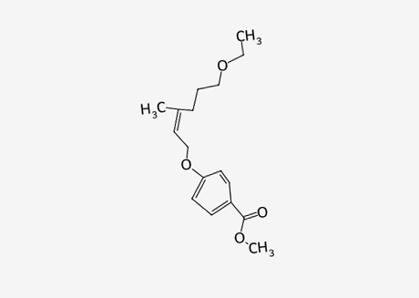 CCOCCCC(C)=CCOc1ccc(C(=O)OC)cc1